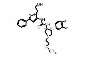 COCCN1C[C@@H](NC(=O)Nc2cc(-c3ccccc3)nn2CCO)[C@H](c2ccc(F)c(F)c2)C1